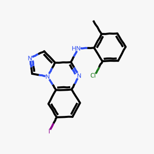 Cc1cccc(Cl)c1Nc1nc2ccc(I)cc2n2cncc12